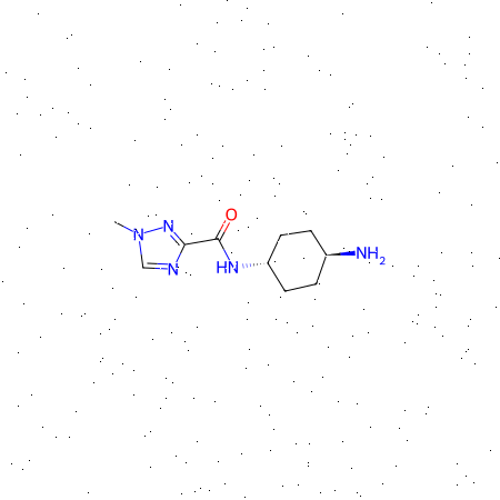 Cn1cnc(C(=O)N[C@H]2CC[C@H](N)CC2)n1